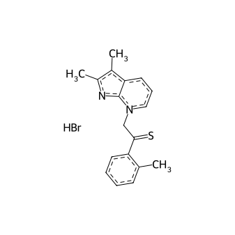 Br.Cc1ccccc1C(=S)Cn1cccc2c(C)c(C)nc1-2